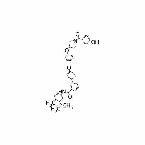 Cc1ccc(NC(=O)c2cccc(-c3ccc(OCc4ccc(OC5CCN(C(=O)c6ccc(O)cc6)CC5)cc4)cc3)c2)cc1C(C)C